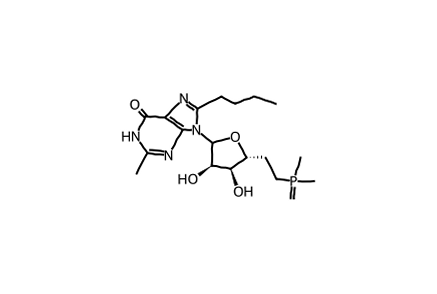 C=P(C)(C)CC[C@H]1OC(n2c(CCCC)nc3c(=O)[nH]c(C)nc32)[C@H](O)[C@@H]1O